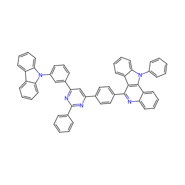 c1ccc(-c2nc(-c3ccc(-c4nc5ccccc5c5c4c4ccccc4n5-c4ccccc4)cc3)cc(-c3cccc(-n4c5ccccc5c5ccccc54)c3)n2)cc1